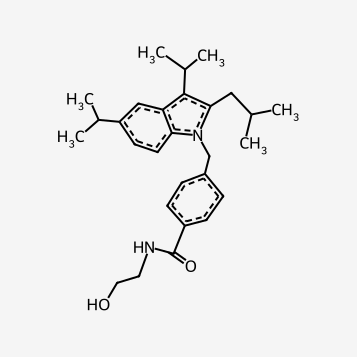 CC(C)Cc1c(C(C)C)c2cc(C(C)C)ccc2n1Cc1ccc(C(=O)NCCO)cc1